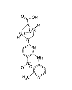 Cc1cc(Nc2nc(N3C[C@H]4CC[C@@H]3CN4C(=O)O)ccc2[N+](=O)[O-])ccn1